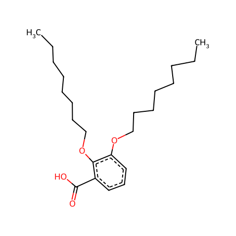 CCCCCCCCOc1cccc(C(=O)O)c1OCCCCCCCC